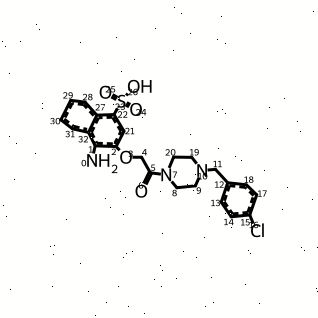 Nc1c(OCC(=O)N2CCN(Cc3ccc(Cl)cc3)CC2)cc(S(=O)(=O)O)c2ccccc12